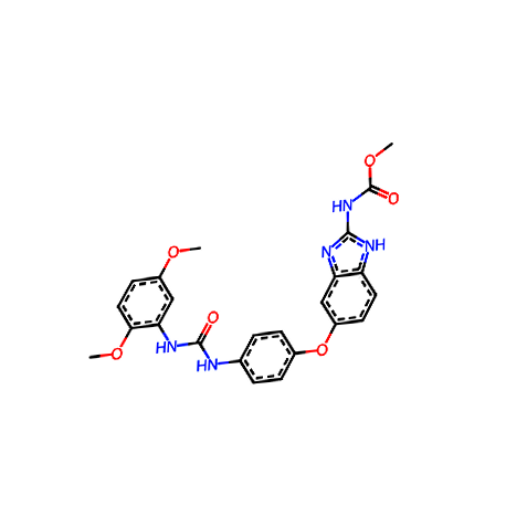 COC(=O)Nc1nc2cc(Oc3ccc(NC(=O)Nc4cc(OC)ccc4OC)cc3)ccc2[nH]1